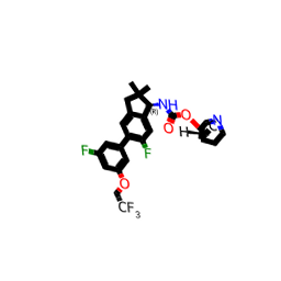 CC1(C)Cc2cc(-c3cc(F)cc(OCC(F)(F)F)c3)c(F)cc2[C@@H]1NC(=O)O[C@@H]1CN2CCC1CC2